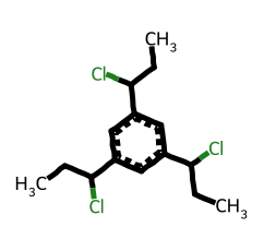 CCC(Cl)c1cc(C(Cl)CC)cc(C(Cl)CC)c1